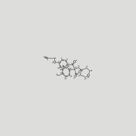 C#CCOc1ccc(C(=O)C(CN2CCOCC2)(c2ccc(C)cc2)N(C)C)cc1